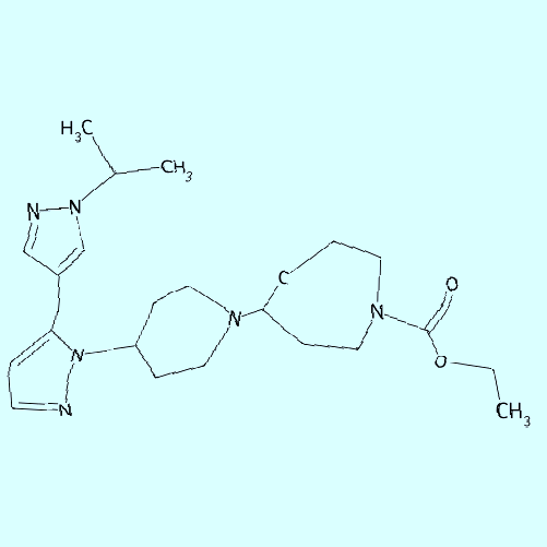 CCOC(=O)N1CCCC(N2CCC(n3nccc3-c3cnn(C(C)C)c3)CC2)CC1